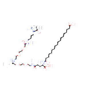 C=C(COCCOCCNC(=O)CCC(NC(=O)CCCCCCCCCCCCCCCCC(=O)O)C(=O)O)NCCOCCOCC(=O)NCCCC[C@H](NC)C(C)=O